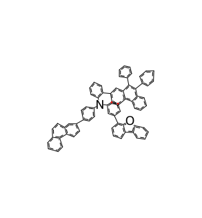 c1ccc(-c2c(-c3ccccc3)c3cc(-c4ccccc4N(c4ccc(-c5ccc6c(ccc7ccccc76)c5)cc4)c4cccc(-c5cccc6c5oc5ccccc56)c4)ccc3c3ccccc23)cc1